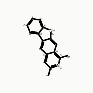 Cc1cc2cc3c(cc2c(C)n1)[nH]c1ccccc13